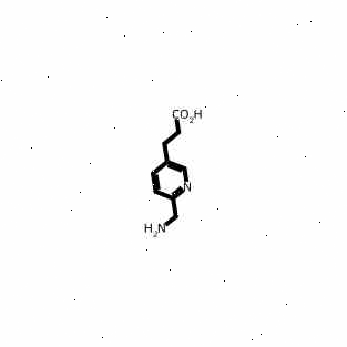 NCc1ccc(CCC(=O)O)cn1